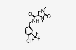 CN1CC(C(=O)NCc2ccc(Cl)c(C(F)(F)F)c2)N(C)C1=O